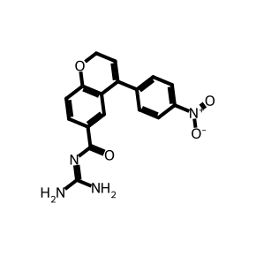 NC(N)=NC(=O)c1ccc2c(c1)C(c1ccc([N+](=O)[O-])cc1)=CCO2